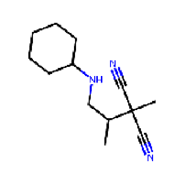 CC(CNC1CCCCC1)C(C)(C#N)C#N